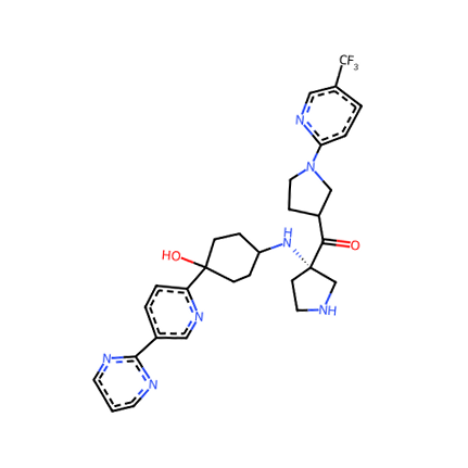 O=C(C1CCN(c2ccc(C(F)(F)F)cn2)C1)[C@]1(NC2CCC(O)(c3ccc(-c4ncccn4)cn3)CC2)CCNC1